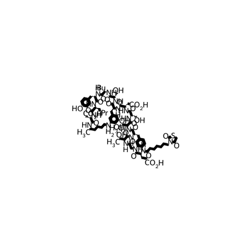 CC[C@H](C)[C@H](NC(=O)[C@H](CO)NC(=O)[C@H](Cc1ccc(O)cc1)NC(=O)[C@H](CC(=O)O)NC(=O)[C@H](CO)NC(=O)[C@@H](NC(=O)[C@H](Cc1ccccc1)NC(=O)[C@@H](NC(=O)CNC(=O)[C@H](CCC(=O)O)NC(=O)CCCCCCN1C(=O)CSC1=O)[C@@H](C)O)[C@@H](C)O)C(=O)N[C@@H](Cc1ccc(O)cc1)C(=O)N[C@@H](CC(C)C)C(=O)N[C@@H](CC(=O)O)C(=O)N[C@H](C)CCCCN